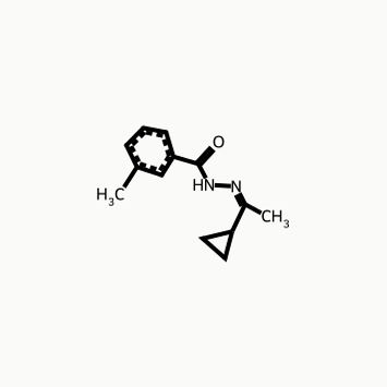 C/C(=N/NC(=O)c1cccc(C)c1)C1CC1